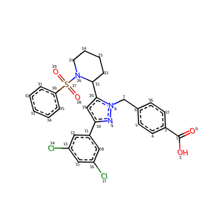 O=C(O)c1ccc(Cn2nc(-c3cc(Cl)cc(Cl)c3)cc2C2CCCCN2S(=O)(=O)c2ccccc2)cc1